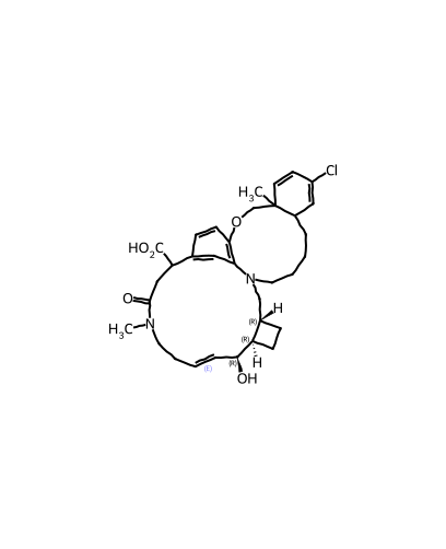 CN1CC/C=C/[C@H](O)[C@@H]2CC[C@H]2CN2CCCCC3C=C(Cl)C=CC3(C)COc3ccc(cc32)C(C(=O)O)CC1=O